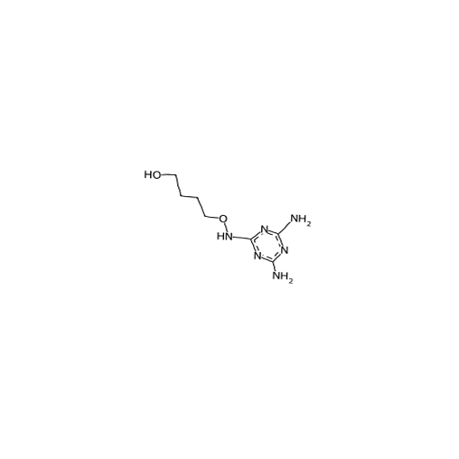 Nc1nc(N)nc(NOCCCCO)n1